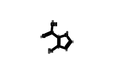 [2H]c1ccoc1C(=O)O